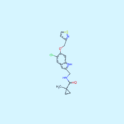 CC1(C(=O)NCc2cc3cc(Cl)c(OCc4ccsn4)cc3[nH]2)CC1